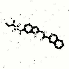 CCC(C)S(=O)(=O)Nc1ccc2nc(NC(=O)c3cc4ccccc4cn3)[nH]c2c1